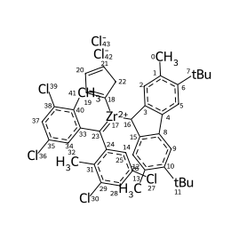 Cc1cc2c(cc1C(C)(C)C)-c1cc(C(C)(C)C)c(C)cc1[CH]2[Zr+2]([C]1=CC=CC1)=[C](c1cc(Cl)cc(Cl)c1C)c1cc(Cl)cc(Cl)c1C.[Cl-].[Cl-]